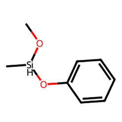 CO[SiH](C)Oc1ccccc1